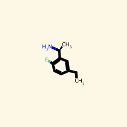 CCc1ccc(F)c([C@H](C)N)c1